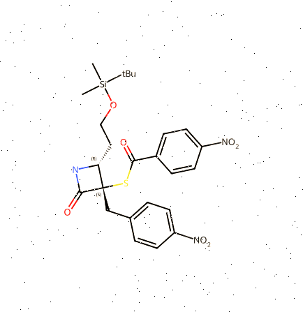 CC(C)(C)[Si](C)(C)OCC[C@H]1[N]C(=O)[C@@]1(Cc1ccc([N+](=O)[O-])cc1)SC(=O)c1ccc([N+](=O)[O-])cc1